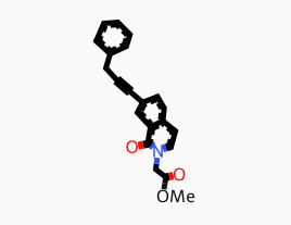 COC(=O)Cn1ccc2ccc(C#CCc3ccccc3)cc2c1=O